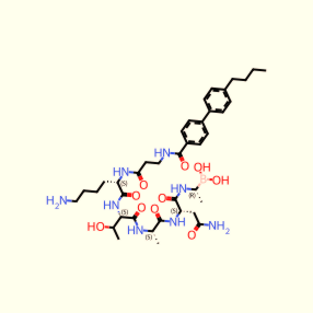 CCCCc1ccc(-c2ccc(C(=O)NCCC(=O)N[C@@H](CCCCN)C(=O)N[C@H](C(=O)N[C@@H](C)C(=O)N[C@@H](CC(N)=O)C(=O)N[C@@H](C)B(O)O)C(C)O)cc2)cc1